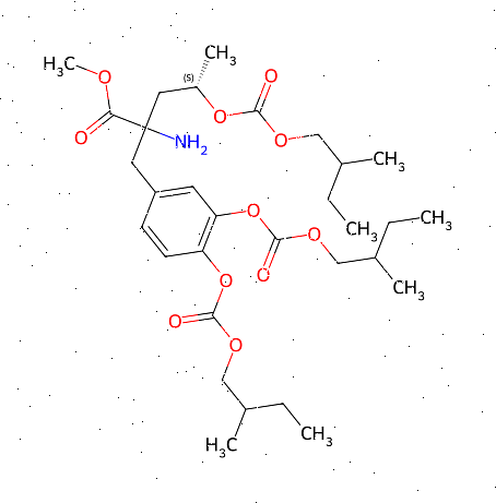 CCC(C)COC(=O)Oc1ccc(CC(N)(C[C@H](C)OC(=O)OCC(C)CC)C(=O)OC)cc1OC(=O)OCC(C)CC